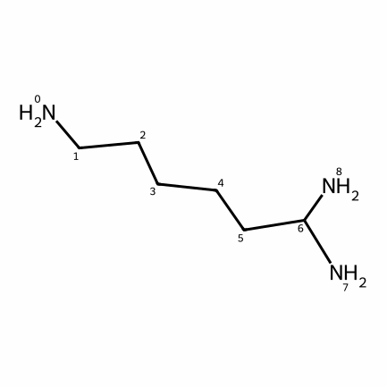 NCCCCCC(N)N